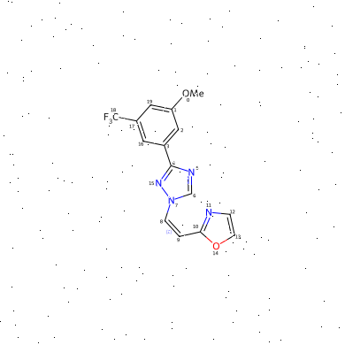 COc1cc(-c2ncn(/C=C\c3ncco3)n2)cc(C(F)(F)F)c1